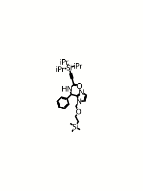 CC(C)[Si](C#CC(=O)NC(c1ccccc1)c1nccn1COCC[Si](C)(C)C)(C(C)C)C(C)C